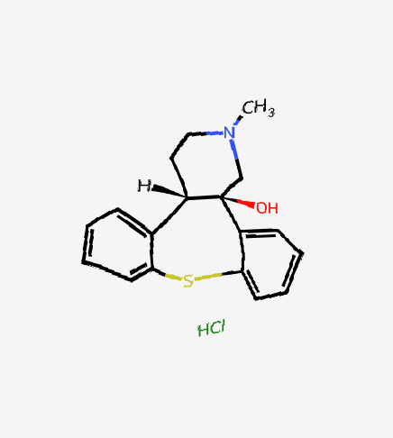 CN1CC[C@H]2c3ccccc3Sc3ccccc3[C@@]2(O)C1.Cl